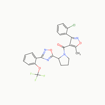 Cc1onc(-c2ccccc2Cl)c1C(=O)N1CCCC1c1nc(-c2ccccc2OC(F)(F)F)no1